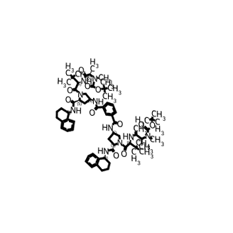 C=C(N[C@H](C(=O)N1C[C@@H](NC(=O)c2cccc(C(=O)N[C@H]3C[C@@H](C(=O)N[C@@H]4CCCc5ccccc54)N(C(=O)[C@@H](NC(=O)[C@H](C)N(C)C(=O)OC(C)(C)C)C(C)(C)C)C3)c2)C[C@H]1C(=O)N[C@@H]1CCCc2ccccc21)C(C)(C)C)[C@H](C)N(C)C(=O)OC(C)(C)C